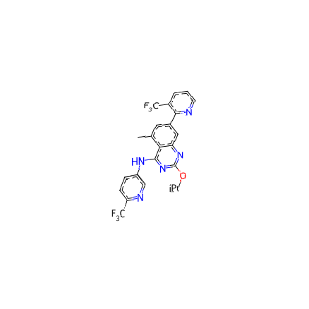 Cc1cc(-c2ncccc2C(F)(F)F)cc2nc(OC(C)C)nc(Nc3ccc(C(F)(F)F)nc3)c12